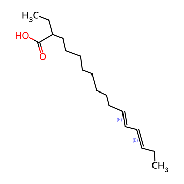 CC/C=C/C=C/CCCCCCCCC(CC)C(=O)O